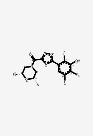 CC[C@@H]1CN(C(=O)c2noc(-c3cc(F)c(F)c(O)c3F)n2)C[C@H](C)O1